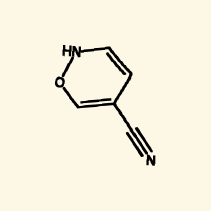 N#CC1=CONC=C1